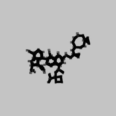 CN(CC1(N(C)C)CCC1)c1nc(OCC2(CC3CCOCC4(CC3)CC4)CC2)nc2c(F)c(-c3ccc(F)c4sc(N)c(C#N)c34)ncc12